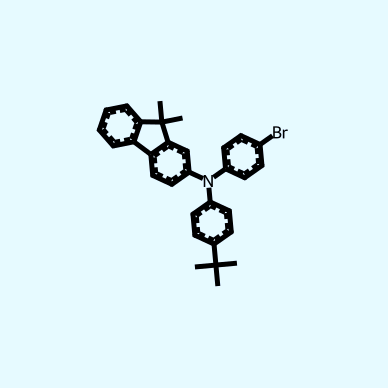 CC(C)(C)c1ccc(N(c2ccc(Br)cc2)c2ccc3c(c2)C(C)(C)c2ccccc2-3)cc1